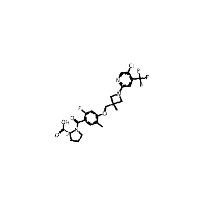 Cc1cc(C(=O)N2CCC[C@H]2C(=O)O)c(F)cc1OCC1(C)CN(c2cc(C(F)(F)F)c(Cl)cn2)C1